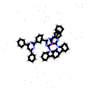 c1ccc(-c2cccc(-n3c4ccccc4c4ccc5c6ccccc6n(-c6nc(-c7ccccc7)nc(-c7cccc(-c8nc(-c9ccccc9)cc(-c9ccccc9)n8)c7)n6)c5c43)n2)cc1